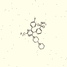 NS(=O)(=O)c1cccc(-c2c(-c3ccc(F)cc3)nc(C(F)(F)F)nc2N2CCC(N3CCCCC3)CC2)c1